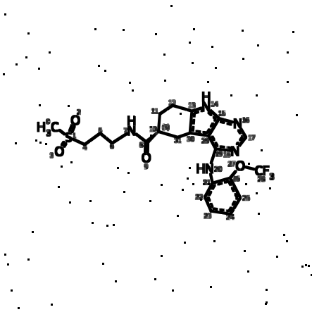 CS(=O)(=O)CCCNC(=O)[C@H]1CCc2[nH]c3ncnc(Nc4ccccc4OC(F)(F)F)c3c2C1